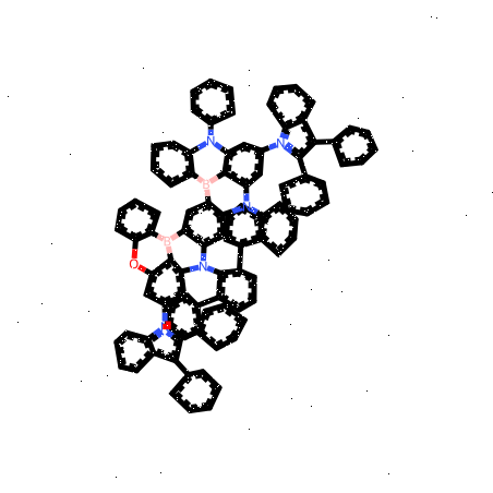 c1ccc(-c2cccc(-c3ccccc3)c2N2c3cc4c(cc3B3c5ccccc5Oc5cc(-n6c(-c7ccccc7)c(-c7ccccc7)c7ccccc76)cc2c53)B2c3ccccc3N(c3ccccc3)c3cc(-n5c(-c6ccccc6)c(-c6ccccc6)c6ccccc65)cc(c32)N4c2ccccc2)cc1